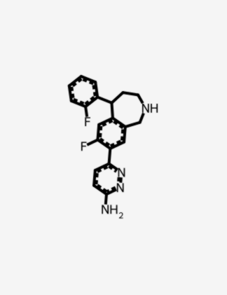 Nc1ccc(-c2cc3c(cc2F)C(c2ccccc2F)CCNC3)nn1